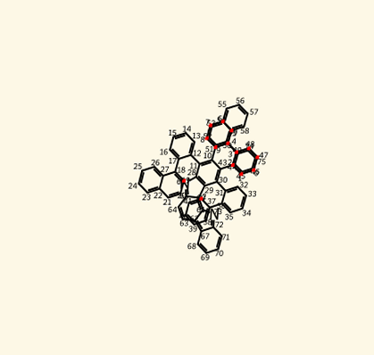 c1ccc(-c2ccccc2-c2c(-c3ccccc3-c3cccc4ccccc34)c3c(c(-c4ccccc4-c4ccccc4)c2-c2ccccc2-c2cccc4ccccc24)-c2c4c(ccc2=N3)=c2ccccc2=N4)cc1